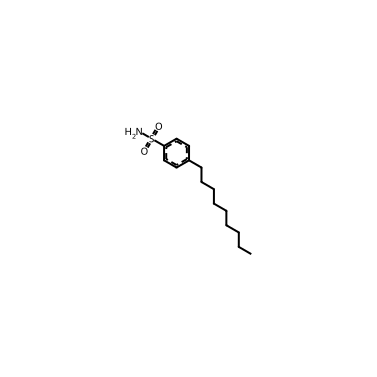 CCCCCCCCCc1ccc(S(N)(=O)=O)cc1